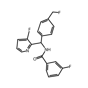 O=C(NC(c1ccc(CF)cc1)c1ncccc1F)c1cccc(F)c1